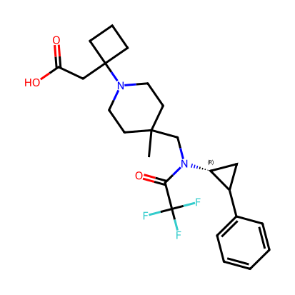 CC1(CN(C(=O)C(F)(F)F)[C@@H]2CC2c2ccccc2)CCN(C2(CC(=O)O)CCC2)CC1